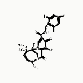 CO[C@@]1(C)C=C[C@H](C)N2C[C@H]1n1cc(C(=O)NCc3c(F)cc(F)cc3F)c(=O)c(O)c1C2=O